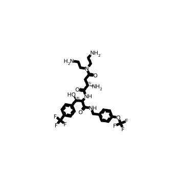 NCCN(CCN)C(=O)C[C@H](N)C(=O)NC(C(=O)NCc1ccc(OC(F)(F)F)cc1)[C@H](O)c1ccc(C(F)(F)F)cc1